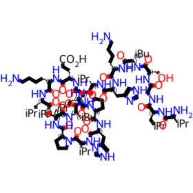 CC[C@H](C)[C@H](NC(=O)[C@H](CO)NC(=O)CNC(=O)[C@H](CC(C)C)NC(=O)[C@@H](N)C(C)C)C(=O)N[C@@H](CCCCN)C(=O)N[C@@H](Cc1c[nH]cn1)C(=O)N[C@H](C(=O)N[C@@H](CC(C)C)C(=O)N1CCC[C@H]1C(=O)N[C@@H](Cc1c[nH]cn1)C(=O)N[C@H](C(=O)N1CCC[C@H]1C(=O)N[C@H](C(=O)N[C@H](C(=O)N[C@@H](C)C(=O)N[C@@H](CCC(=O)O)C(=O)N[C@@H](CCCCN)C(=O)N[C@@H](CC(C)C)C(=O)OC(C)=O)[C@@H](C)CC)C(C)C)C(C)C)C(C)C